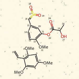 C=Cc1c(OC)cc(OC)cc1OC.COc1ccc(C=S(=O)=O)cc1OC(=O)C(C)O